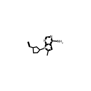 C=CC1CCC(n2c(C)cc3c(N)ncnc32)C1